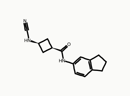 N#CN[C@H]1C[C@@H](C(=O)Nc2ccc3c(c2)CCC3)C1